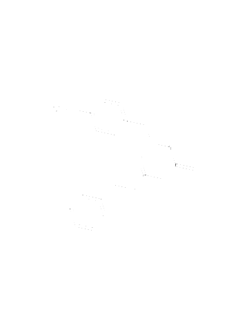 C=C(CC(=O)OCc1ccccc1)C(=O)OCc1ccc(OC)cc1